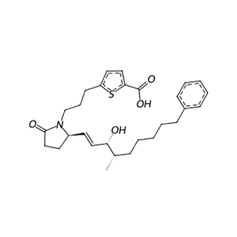 C[C@@H](CCCCCc1ccccc1)[C@@H](O)C=C[C@H]1CCC(=O)N1CCCc1ccc(C(=O)O)s1